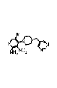 Nc1ncc(Br)c(N2CCN(Cc3cncnc3)CC2)c1[N+](=O)[O-]